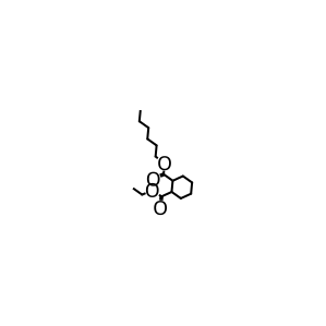 CCCCCCOC(=O)C1CCCCC1C(=O)OCC